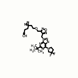 C#CCCC1(CCOCc2nonc2Cn2nnc3c(N4CCC(F)(F)C4)nc(C(C)(C)C)nc32)N=N1